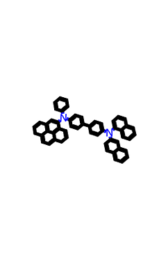 C1=Cc2cc(N(c3ccccc3)c3ccc(-c4ccc(N(c5ccc6ccccc6c5)c5cccc6ccccc56)cc4)cc3)c3c4c(ccc(c24)C1)CC=C3